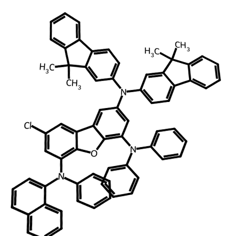 CC1(C)c2ccccc2-c2ccc(N(c3ccc4c(c3)C(C)(C)c3ccccc3-4)c3cc(N(c4ccccc4)c4ccccc4)c4oc5c(N(c6ccccc6)c6cccc7ccccc67)cc(Cl)cc5c4c3)cc21